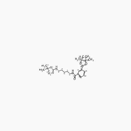 CC(C)(C)OC(=O)NCCCCCNC(=O)c1cc(B2OC(C)(C)C(C)(C)O2)ccn1